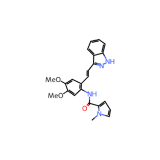 COc1cc(C=Cc2n[nH]c3ccccc23)c(NC(=O)c2cccn2C)cc1OC